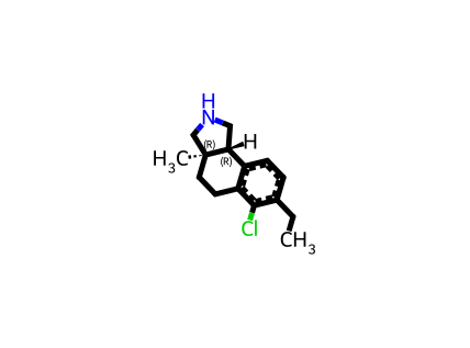 CCc1ccc2c(c1Cl)CC[C@@]1(C)CNC[C@H]21